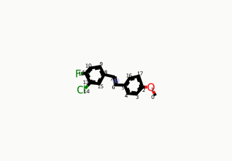 COc1ccc(/C=C/c2ccc(F)c(Cl)c2)cc1